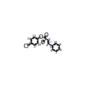 O=S(=O)(/C=C/c1ccccc1)Oc1ccc(Cl)cc1